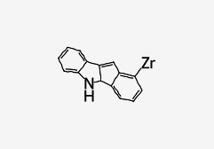 [Zr][c]1cccc2c1C=C1c3ccccc3NC12